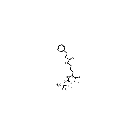 CC(C)(C)OC(=O)N[C@@H](CCCNC(=O)OCc1ccccc1)C(N)=O